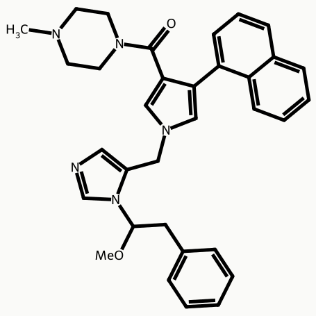 COC(Cc1ccccc1)n1cncc1Cn1cc(C(=O)N2CCN(C)CC2)c(-c2cccc3ccccc23)c1